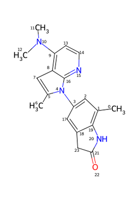 Cc1cc(-n2c(C)cc3c(N(C)C)ccnc32)cc2c1NC(=O)C2